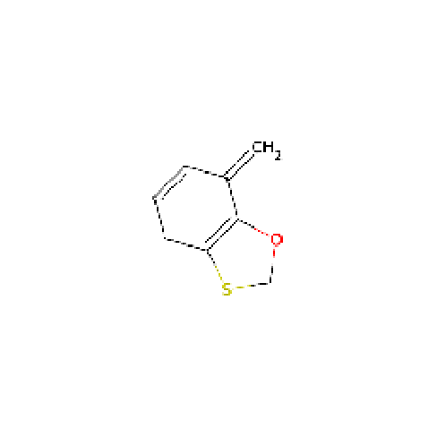 C=C1C=CCC2=C1OCS2